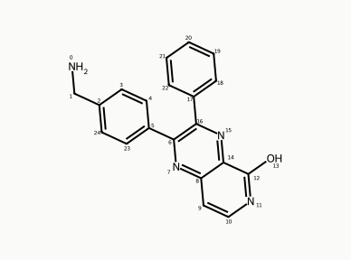 NCc1ccc(-c2nc3ccnc(O)c3nc2-c2ccccc2)cc1